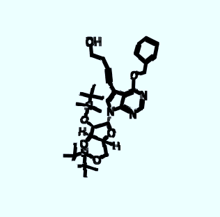 CC(C)(C)[Si](C)(C)O[C@@H]1[C@@H]2O[Si](C(C)(C)C)(C(C)(C)C)OC[C@H]2O[C@H]1n1cc(C#CCCO)c2c(OCc3ccccc3)ncnc21